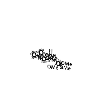 COc1cc(-c2cnc3[nH]c(=O)n(Cc4ccc(N=C(c5ccccc5)c5ccccc5)cc4)c3n2)cc(OC)c1OC